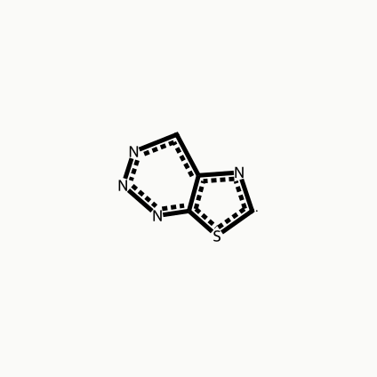 [c]1nc2cnnnc2s1